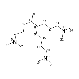 CC(CCCN(C)C)C(CCCCN(C)C)CCCN(C)C